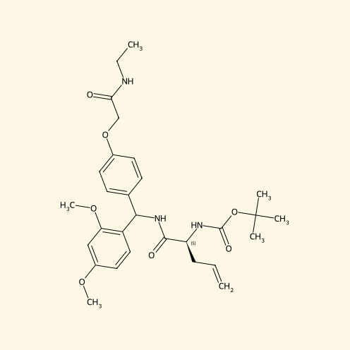 C=CC[C@H](NC(=O)OC(C)(C)C)C(=O)NC(c1ccc(OCC(=O)NCC)cc1)c1ccc(OC)cc1OC